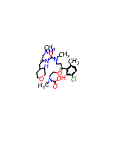 CNC[C@H](CC1CCOCC1)NC(=O)N(C)CC[C@H](OCCN(C)C(=O)O)c1cc(Cl)ccc1C